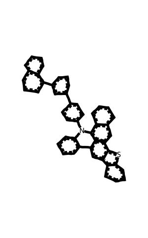 c1cc(-c2ccc(N(c3ccccc3-c3ccc4sc5ccccc5c4c3)c3cccc4ccccc34)cc2)cc(-c2cccc3ccccc23)c1